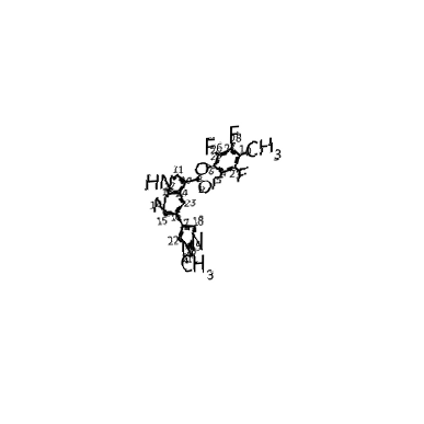 Cc1c(F)c(F)c(OC(=O)c2c[nH]c3ncc(-c4cnn(C)c4)cc23)c(F)c1F